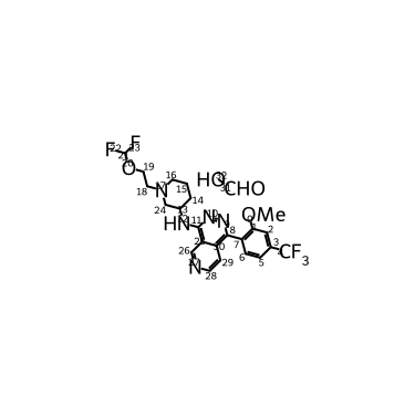 COc1cc(C(F)(F)F)ccc1-c1nnc(N[C@@H]2CCCN(CCOC(F)F)C2)c2cnccc12.O=CO